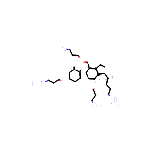 CCCNCCC[C@@H](C)[C@H]1CC[C@H]2C(COCCCN)[C@@H](C3(C)CC[C@@H](OCCCN)CC3C)C[C@H](OCCCN)C12C